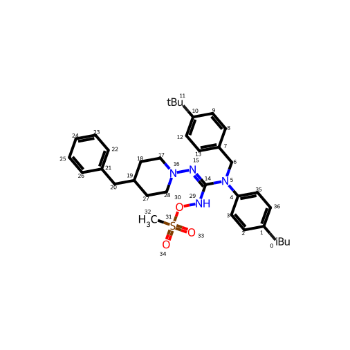 CCC(C)c1ccc(N(Cc2ccc(C(C)(C)C)cc2)C(=NN2CCC(Cc3ccccc3)CC2)NOS(C)(=O)=O)cc1